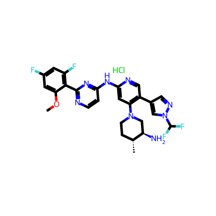 COc1cc(F)cc(F)c1-c1nccc(Nc2cc(N3CC[C@@H](C)[C@H](N)C3)c(-c3cnn(C(F)F)c3)cn2)n1.Cl